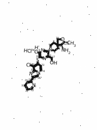 Cc1nc(N2CCC3(CC2)CO[C@@H](C)[C@H]3N)c(CO)nc1Sc1ccn2cc(-c3ccccn3)nc2c1Cl.Cl